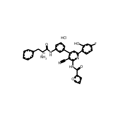 Cl.N#Cc1c(-c2cccc(NC(=O)[C@H](N)Cc3ccccc3)c2)cc(-c2ccc(F)cc2O)nc1NC(=O)c1ccco1